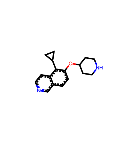 c1cc2c(C3CC3)c(OC3CCNCC3)ccc2cn1